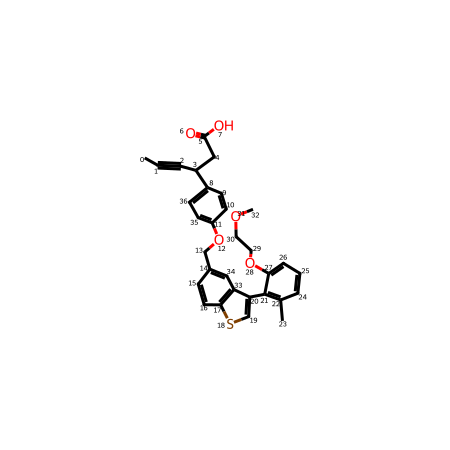 CC#CC(CC(=O)O)c1ccc(OCc2ccc3scc(-c4c(C)cccc4OCCOC)c3c2)cc1